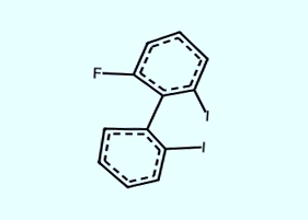 Fc1cccc(I)c1-c1ccccc1I